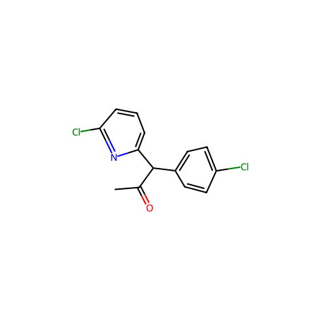 CC(=O)C(c1ccc(Cl)cc1)c1cccc(Cl)n1